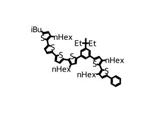 CCCCCCc1cc(-c2cc(-c3cc(CCCCCC)c(-c4sc(-c5ccccc5)cc4CCCCCC)s3)cc(C(C)(CC)CC)c2)sc1-c1ccc(-c2ccc(-c3sc(C(C)CC)cc3CCCCCC)s2)s1